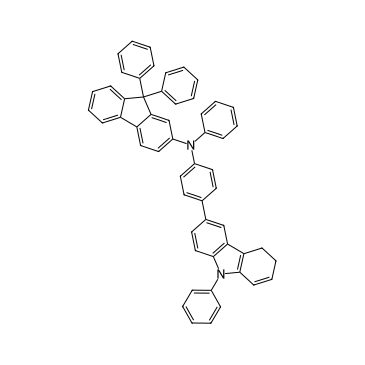 C1=Cc2c(c3cc(-c4ccc(N(c5ccccc5)c5ccc6c(c5)C(c5ccccc5)(c5ccccc5)c5ccccc5-6)cc4)ccc3n2-c2ccccc2)CC1